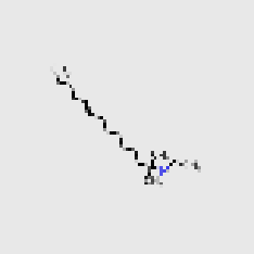 CCCC/C=C/CCCCCCC(C)(C)[N]CC